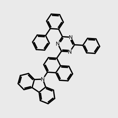 c1ccc(-c2nc(-c3ccccc3-c3ccccc3)nc(-c3ccc(-n4c5ccccc5c5ccccc54)c4ccccc34)n2)cc1